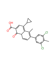 CC1=C(c2cc(Cl)c(C)c(Cl)c2)C=CC2C(=O)C(C(=O)O)=CC(C3CC3)=C12